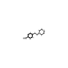 [NH]c1ccc(CCN2CCOCC2)cc1